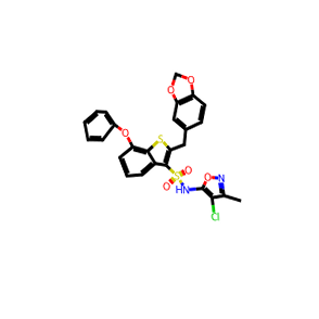 Cc1noc(NS(=O)(=O)c2c(Cc3ccc4c(c3)OCO4)sc3c(Oc4ccccc4)cccc23)c1Cl